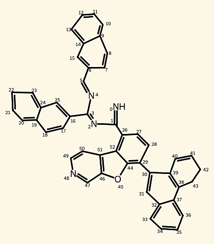 N=C(/N=C(\N=C\c1ccc2ccccc2c1)c1ccc2ccccc2c1)c1ccc(-c2cc3ccccc3c3c2C=CCC3)c2oc3cnccc3c12